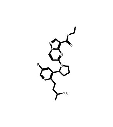 CCOC(=O)c1cnn2ccc(N3CCCC3c3cc(F)cnc3CCC(C)N)nc12